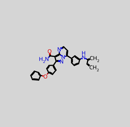 C=CC(=C)Nc1cccc(-c2ccnc3c(C(N)=O)c(-c4ccc(Oc5ccccc5)cc4)nn23)c1